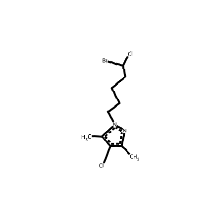 Cc1nn(CCCCC(Cl)Br)c(C)c1Cl